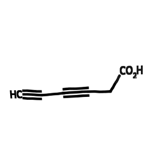 C#CC#CCC(=O)O